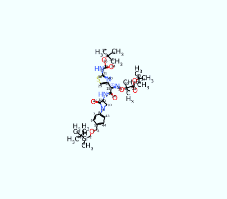 C[SiH](COCc1ccc(N2C[C@H](NC(=O)/C(=N\OC(C)(C)C(=O)OC(C)(C)C)c3csc(NC(=O)OC(C)(C)C)n3)C2=O)cc1)C(C)(C)C